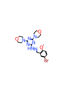 COc1ccc(Br)cc1/C=N/Nc1nc(N2CCOCC2)nc(N2CCOCC2)n1